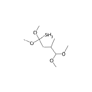 COC(OC)C(C)CC([SiH3])(OC)OC